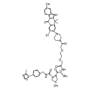 CCc1cc2c(cc1N1CCN(C(=O)COCCOCC(=O)N[C@H](C(=O)N3C[C@H](O)C[C@H]3C(=O)NCc3ccc(-c4scnc4C)cc3)C(C)(C)C)CC1)C(C)(C)c1[nH]c3cc(C#N)ccc3c1C2=O